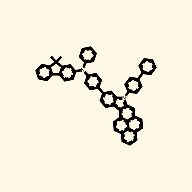 CC1(C)c2ccccc2-c2ccc(N(c3ccccc3)c3ccc(-c4ccc5c6c7ccc8cccc9ccc(cc6n(-c6ccc(-c%10ccccc%10)cc6)c5c4)c7c98)cc3)cc21